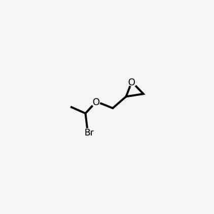 CC(Br)OCC1CO1